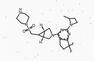 CC1CCN1c1nc(N2C[C@@H]3C(CS(=O)(=O)N4CCNCC4)[C@@H]3C2)c2c(n1)C(F)(F)CC2